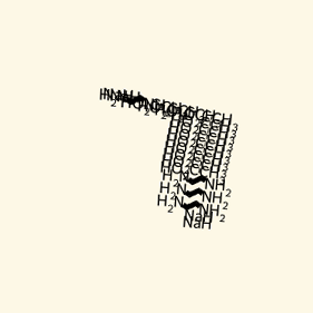 CC(=O)O.CC(=O)O.CC(=O)O.CC(=O)O.CC(=O)O.CC(=O)O.CC(=O)O.CC(=O)O.CC(=O)O.CC(=O)O.CC(=O)O.CC(=O)O.NCCN.NCCN.NCCN.NCCN.[NaH].[NaH].[NaH].[NaH]